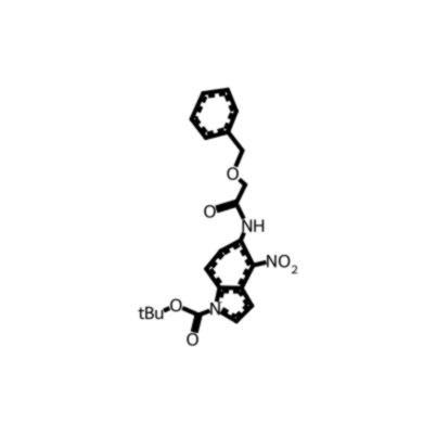 CC(C)(C)OC(=O)n1ccc2c([N+](=O)[O-])c(NC(=O)COCc3ccccc3)ccc21